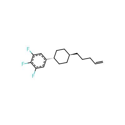 C=CCCC[C@H]1CC[C@H](c2cc(F)c(F)c(F)c2)CC1